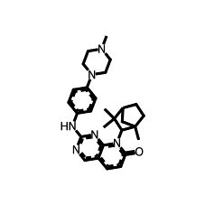 CN1CCN(c2ccc(Nc3ncc4ccc(=O)n(C5C6(C)CCC(C6)C5(C)C)c4n3)cc2)CC1